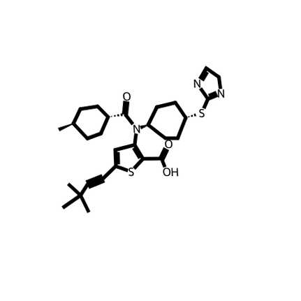 CC(C)(C)C#Cc1cc(N(C(=O)[C@H]2CC[C@H](C)CC2)[C@H]2CC[C@H](SC3=NCC=N3)CC2)c(C(=O)O)s1